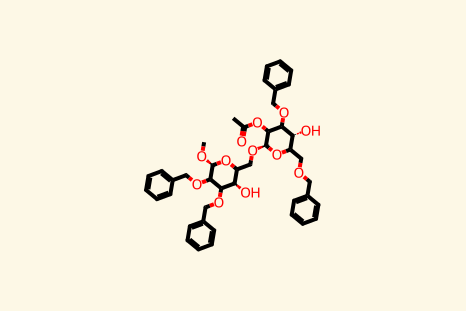 CO[C@H]1OC(CO[C@@H]2OC(COCc3ccccc3)[C@@H](O)C(OCc3ccccc3)C2OC(C)=O)[C@@H](O)C(OCc2ccccc2)C1OCc1ccccc1